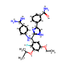 CCOc1cc(OC(C)C)c(F)c(C(Nc2ccc(C(=N)N)cc2)c2nc(-c3cccc(C(N)=O)c3)c[nH]2)c1